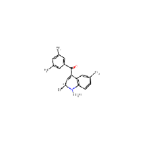 CCOC(=O)N1c2ccc(C(F)(F)F)cc2C(C(=O)c2cc(C(F)(F)F)cc(C(F)(F)F)c2)=C[C@@H]1CC